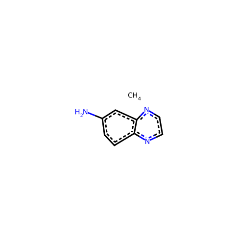 C.Nc1ccc2nccnc2c1